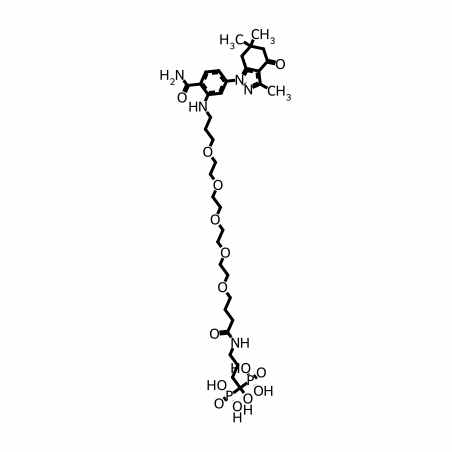 Cc1nn(-c2ccc(C(N)=O)c(NCCCOCCOCCOCCOCCOCCCC(=O)NCCCC(O)(P(=O)(O)O)P(=O)(O)O)c2)c2c1C(=O)CC(C)(C)C2